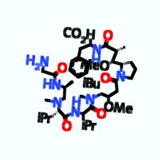 CC[C@H](C)[C@@H]([C@@H](CC(=O)N1CCC[C@H]1[C@H](OC)[C@@H](C)C(=O)N[C@@H](Cc1ccccc1)C(=O)O)OC)N(C)C(=O)C(NC(=O)[C@H](C(C)C)N(C)C[C@H](C)NC(=O)CN)C(C)C